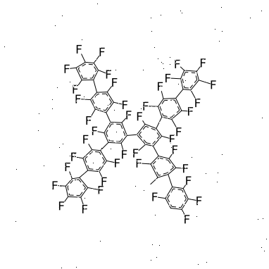 Cc1c(F)c(-c2c(F)c(-c3c(F)c(F)c(-c4c(F)c(F)c(F)c(F)c4F)c(F)c3F)c(F)c(-c3c(F)c(-c4c(F)c(F)c(-c5c(F)c(F)c(F)c(F)c5F)c(F)c4F)c(F)c(-c4c(F)c(F)c(-c5c(F)c(F)c(F)c(F)c5F)c(F)c4F)c3F)c2F)c(F)c(F)c1-c1c(F)cc(F)c(F)c1F